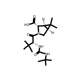 CC(C)(C)NC(=O)N[C@@H](C(=O)N1C[C@H]2[C@@H]([C@H]1C(=O)O)C2(C)C)C(C)(C)C